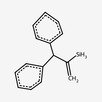 C=C([SiH3])C(c1ccccc1)c1ccccc1